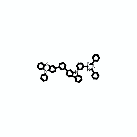 c1ccc(-c2nc(-c3ccccc3)nc(-c3cccc(-n4c5ccccc5c5ccc(-c6cccc(-c7ccc8c(c7)Sc7ccccc7N8c7ccccc7)c6)cc54)c3)n2)cc1